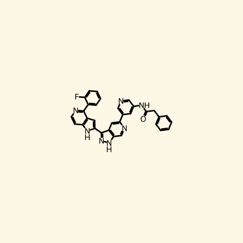 O=C(Cc1ccccc1)Nc1cncc(-c2cc3c(-c4cc5c(-c6ccccc6F)nccc5[nH]4)n[nH]c3cn2)c1